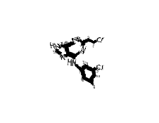 ClCCc1nc(Nc2cccc(Cl)c2)c2nc[nH]c2n1